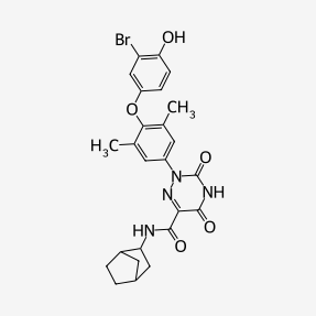 Cc1cc(-n2nc(C(=O)NC3CC4CCC3C4)c(=O)[nH]c2=O)cc(C)c1Oc1ccc(O)c(Br)c1